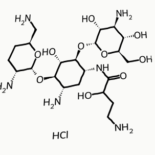 Cl.NCCC(O)C(=O)N[C@@H]1C[C@H](N)[C@@H](O[C@H]2O[C@H](CN)CC[C@H]2N)[C@H](O)[C@H]1O[C@H]1O[C@H](CO)[C@@H](O)[C@H](N)[C@H]1O